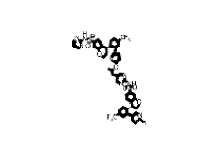 CC(Cc1cnc(NS(=O)(=O)c2ccc3c(c2)OCC[C@@H]3c2ccc(C(F)(F)F)cc2-c2ccc(I)nc2)nc1)Oc1ccc(-c2cc(C(F)(F)F)ccc2[C@@H]2CCOc3cc(S(=O)(=O)Nc4ncccn4)ccc32)cn1